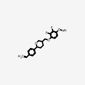 C=Cc1ccc(C2CCC(COc3ccc(OCCC)c(F)c3F)CO2)cc1